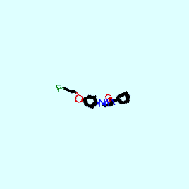 O=C(/C=C\Nc1ccc(OCCCF)cc1)c1ccccc1